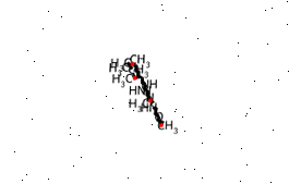 CCCOCCNC/C(C)=N/C=N/C(=N)NCC/C(=C/C=CC(C)C(C)(C)C)CCC